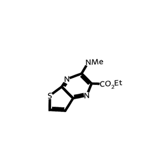 CCOC(=O)c1nc2ccsc2nc1NC